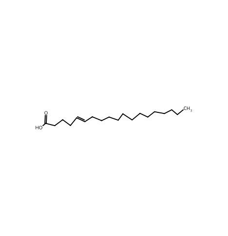 CCCCCCCCCCCCCC=CCCCC(=O)O